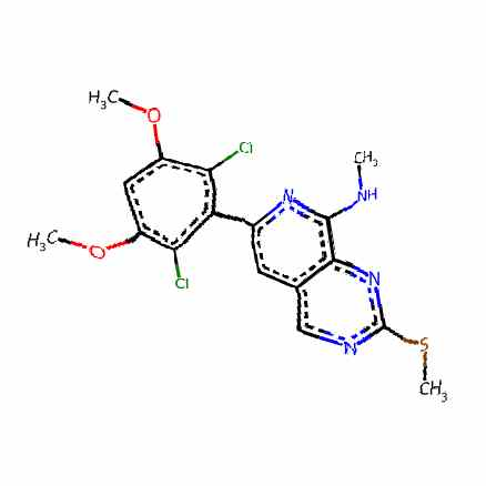 CNc1nc(-c2c(Cl)c(OC)cc(OC)c2Cl)cc2cnc(SC)nc12